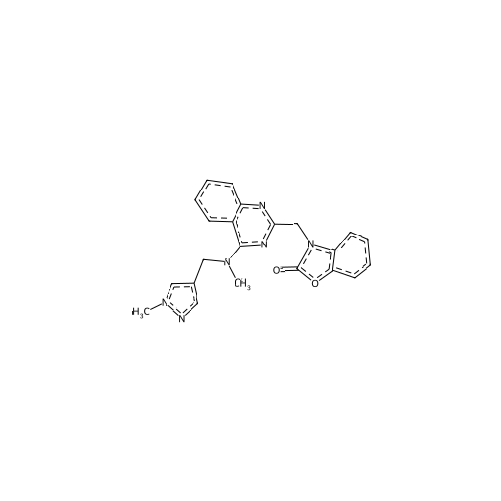 CN(Cc1cnn(C)c1)c1nc(Cn2c(=O)oc3ccccc32)nc2ccccc12